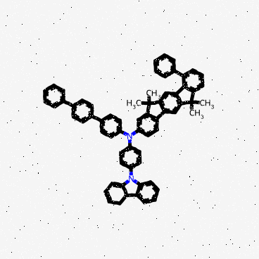 CC1(C)c2cc(N(c3ccc(-c4ccc(-c5ccccc5)cc4)cc3)c3ccc(N4C5=CC=CCC5c5ccccc54)cc3)ccc2-c2cc3c(cc21)-c1c(-c2ccccc2)cccc1C3(C)C